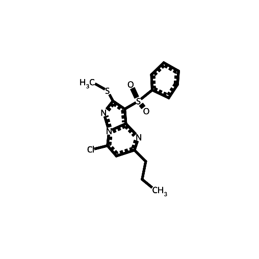 CCCc1cc(Cl)n2nc(SC)c(S(=O)(=O)c3ccccc3)c2n1